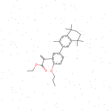 C=C(C(=O)OCC)c1cc(-c2cc3c(cc2C)C(C)(C)CCC3(C)C)ccc1OCCC